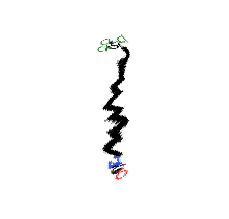 O=C=NCCCCCCCCCCCCC[Si](Cl)(Cl)Cl